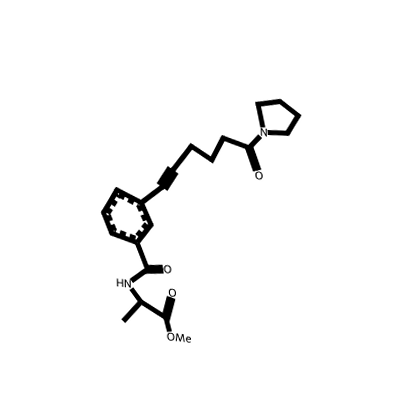 COC(=O)C(C)NC(=O)c1cccc(C#CCCCC(=O)N2CCCC2)c1